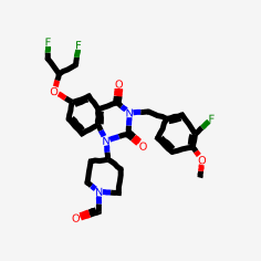 COc1ccc(Cn2c(=O)c3cc(OC(CF)CF)ccc3n(C3CCN(C=O)CC3)c2=O)cc1F